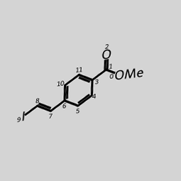 COC(=O)c1ccc(C=CI)cc1